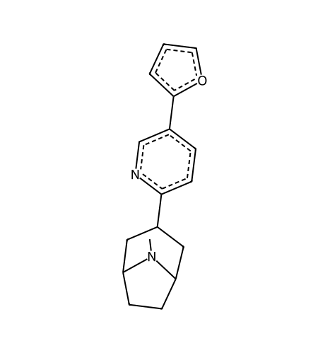 CN1C2CCC1CC(c1ccc(-c3ccco3)cn1)C2